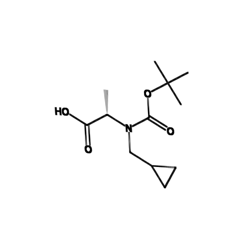 C[C@@H](C(=O)O)N(CC1CC1)C(=O)OC(C)(C)C